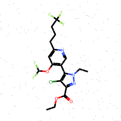 CCOC(=O)c1nn(CC)c(-c2cnc(CCCC(F)(F)F)cc2OC(F)F)c1Cl